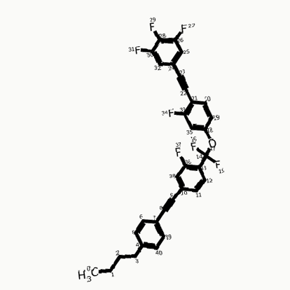 CCCCc1ccc(C#Cc2ccc(C(F)(F)Oc3ccc(C#Cc4cc(F)c(F)c(F)c4)c(F)c3)c(F)c2)cc1